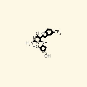 Nc1nc(Cl)c(-c2cc3cc(C(F)(F)F)ccc3o2)c(N[C@@H]2C[C@H](CO)C[C@H]2O)n1